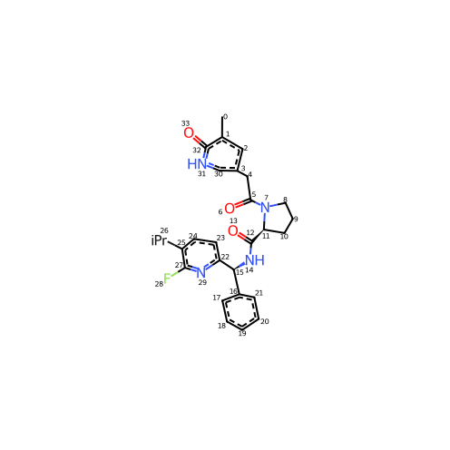 Cc1cc(CC(=O)N2CCC[C@H]2C(=O)N[C@@H](c2ccccc2)c2ccc(C(C)C)c(F)n2)c[nH]c1=O